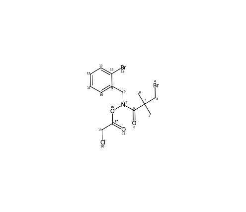 CC(C)(CBr)C(=O)N(Cc1ccccc1Br)OC(=O)CCl